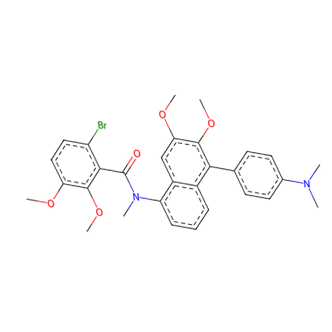 COc1ccc(Br)c(C(=O)N(C)c2cccc3c(-c4ccc(N(C)C)cc4)c(OC)c(OC)cc23)c1OC